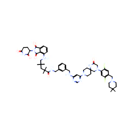 CC1(C)CCN(Cc2cc(F)c(N3CC(=O)NC4(CCN(c5cc(NCc6cccc(CNC(=O)C(C)(C)CC(C)(C)CNc7cccc8c7C(=O)N(C7CCC(=O)NC7=O)C8=O)c6)ncn5)CC4)C3)cc2F)CC1